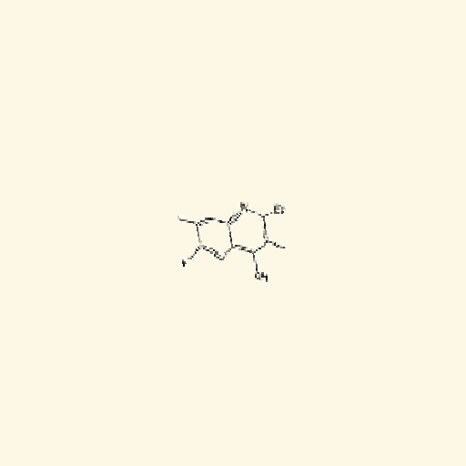 CCc1nc2cc(C)c(F)cc2c(O)c1C